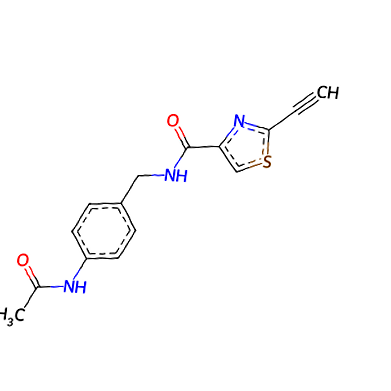 C#Cc1nc(C(=O)NCc2ccc(NC(C)=O)cc2)cs1